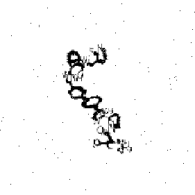 COC(=O)N[C@H](C(=O)N1CCC[C@H]1c1ncc(-c2ccc(-c3ccc(-c4cnc(C5C6CCC(C6)C5C(=O)NCc5cccnc5F)[nH]4)cc3)cc2)[nH]1)[C@@H](C)OC